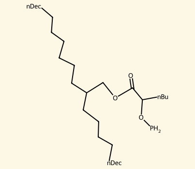 CCCCCCCCCCCCCCCCC(CCCCCCCCCCCCCC)COC(=O)C(CCCC)OP